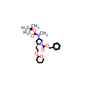 CN(C(=O)OC(C)(C)C)[C@@H]1C[C@H](CCOC2CCCCO2)N(C(=O)OCc2ccccc2)C1